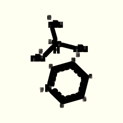 CCC[CH2][SnH]([CH2]CCC)[CH2]CCC.c1ccncc1